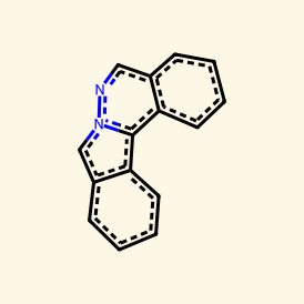 c1ccc2c(c1)cnn1cc3ccccc3c21